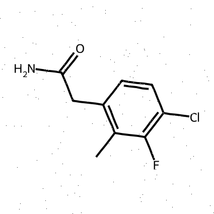 Cc1c(CC(N)=O)ccc(Cl)c1F